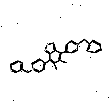 Cc1c(C)c(-c2cc[n+](Cc3ccccc3)cc2)c2nonc2c1-c1cc[n+](Cc2ccccc2)cc1